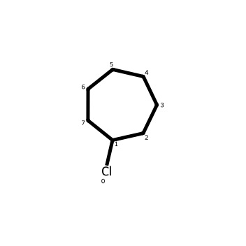 ClC1CCCCCC1